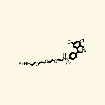 CC(=O)NCCOCCOCCOCCN[S+]([O-])c1ccc(C2CN(C)Cc3c(Cl)cc(Cl)cc32)cc1